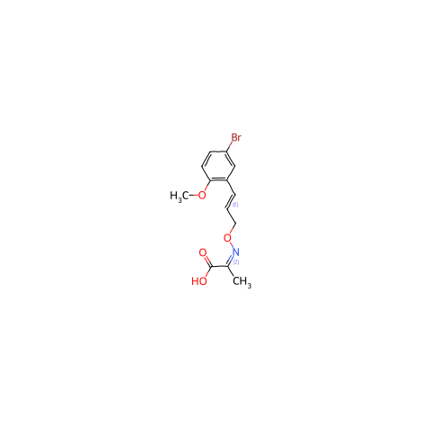 COc1ccc(Br)cc1/C=C/CO/N=C(/C)C(=O)O